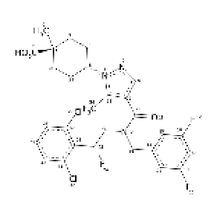 C[C@]1(C(=O)O)CC[C@H](n2ncc(C(=O)N(Cc3cc(F)cc(F)c3)C[C@H](F)c3c(Cl)cccc3Cl)c2C(F)(F)F)CC1